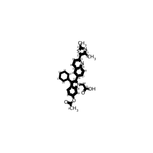 CC(=O)Oc1ccc2c(C3CCCCC3)c(-c3ccc4nc(-c5sc(C)nc5C)ccc4c3)n(CC(=O)O)c2c1